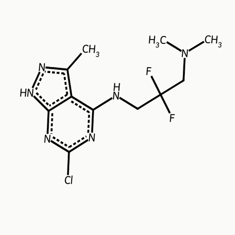 Cc1n[nH]c2nc(Cl)nc(NCC(F)(F)CN(C)C)c12